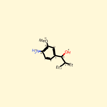 CCC(CC)C(O)c1ccc(N)c(OC)c1